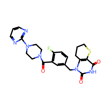 O=C(c1cc(Cn2c3c(c(=O)[nH]c2=O)SCCC3)ccc1F)N1CCN(c2ncccn2)CC1